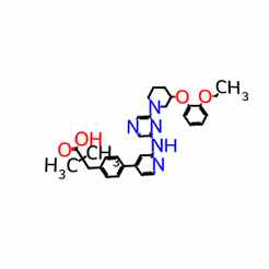 CCOc1ccccc1OC1CCCN(c2cncc(Nc3cc(-c4ccc(CC(C)(C)C(=O)O)cc4)ccn3)n2)C1